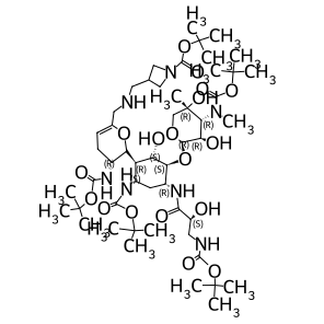 CN(C(=O)OC(C)(C)C)[C@@H]1[C@@H](O)[C@@H](O[C@@H]2[C@@H](O)[C@H](C3OC(CNCC4CN(C(=O)OC(C)(C)C)C4)=CC[C@H]3NC(=O)OC(C)(C)C)[C@@H](NC(=O)OC(C)(C)C)C[C@H]2NC(=O)[C@@H](O)CNC(=O)OC(C)(C)C)OC[C@]1(C)O